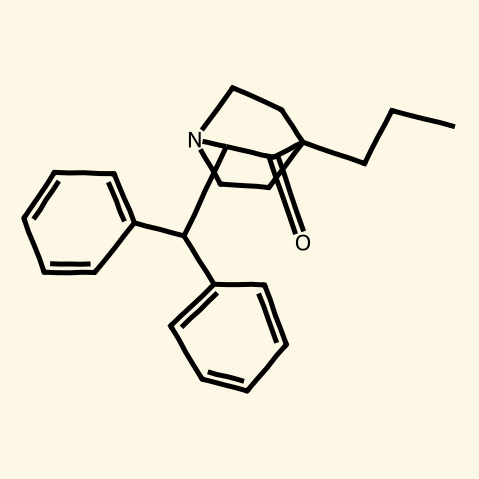 CCCC12CCN(CC1)C(C(c1ccccc1)c1ccccc1)C2=O